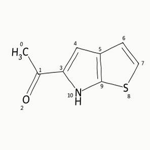 CC(=O)c1cc2ccsc2[nH]1